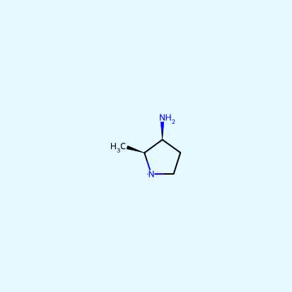 C[C@@H]1[N]CC[C@@H]1N